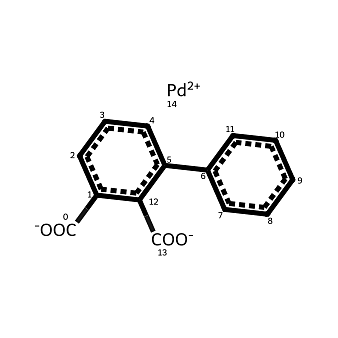 O=C([O-])c1cccc(-c2ccccc2)c1C(=O)[O-].[Pd+2]